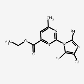 [2H]c1nc([2H])n(-c2nc(C)cc(C(=O)OCC)n2)c1[2H]